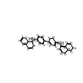 C1=CCC2C(=C1)C=CCC2Nc1ccc(C2=CC=C(NC3=C4C=CCCC4CC=C3)CC2)cc1